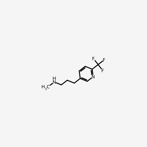 CNCCCc1ccc(C(F)(F)F)nc1